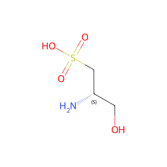 N[C@@H](CO)CS(=O)(=O)O